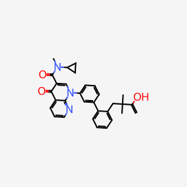 C=C(O)C(C)(C)Cc1ccccc1-c1cccc(-n2cc(C(=O)N(C)C3CC3)c(=O)c3cccnc32)c1